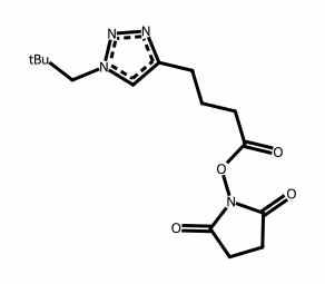 CC(C)(C)Cn1cc(CCCC(=O)ON2C(=O)CCC2=O)nn1